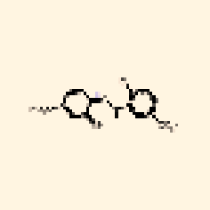 N=C1C=C(S(=O)(=O)O)C=C/C1=N/Nc1cc(C(=O)O)ccc1O